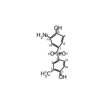 Cc1cc(S(=O)(=O)c2ccc(O)c(N)c2)ccc1O